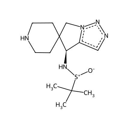 CC(C)(C)[S+]([O-])N[C@@H]1c2cnnn2CC12CCNCC2